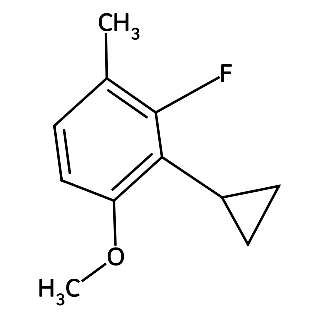 COc1ccc(C)c(F)c1C1CC1